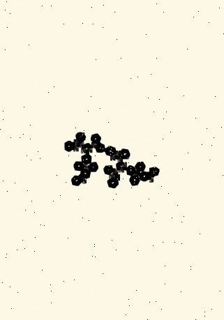 c1ccc([Si](c2ccccc2)(c2ccc(-c3nc(-n4c5ccccc5c5cc(-c6ccc7c(c6)nc6n(-c8cc(-n9c%10ccccc%10n%10c%11ccccc%11nc9%10)nc(-c9ccc([Si](c%10ccccc%10)(c%10ccccc%10)c%10ccc%11sc%12ccccc%12c%11c%10)cc9)n8)c8ccccc8n76)ccc54)cc(-n4c5ccccc5n5c6ccccc6nc45)n3)cc2)c2ccc3sc4ccccc4c3c2)cc1